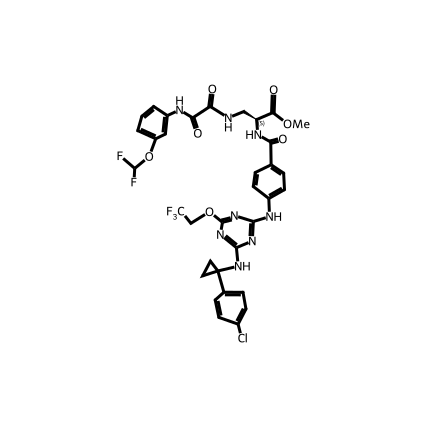 COC(=O)[C@H](CNC(=O)C(=O)Nc1cccc(OC(F)F)c1)NC(=O)c1ccc(Nc2nc(NC3(c4ccc(Cl)cc4)CC3)nc(OCC(F)(F)F)n2)cc1